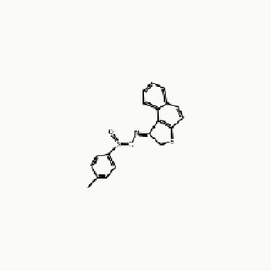 Cc1ccc(S(=O)O/N=C2\CSc3ccc4ccccc4c32)cc1